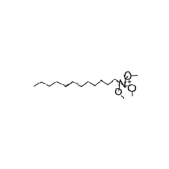 CCCCCCCCCCCC[N+](OC)(OC)OC